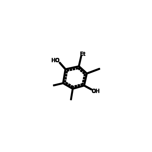 CCc1c(C)c(O)c(C)c(C)c1O